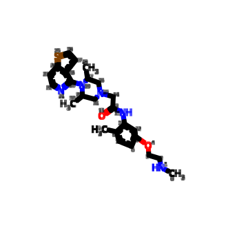 CNCCOc1ccc(C)c(NC(=O)CN2CC(C)N(c3nccc4sccc34)C(C)C2)c1